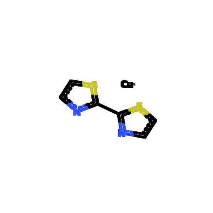 [Cu].c1csc(-c2nccs2)n1